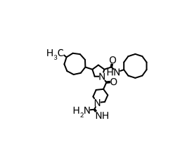 CC1CCCCC(C2CC(C(=O)NC3CCCCCCCCC3)N(C(=O)C3CCN(C(=N)N)CC3)C2)CCC1